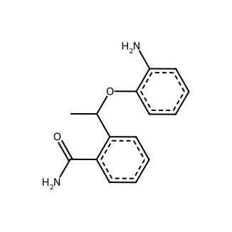 CC(Oc1ccccc1N)c1ccccc1C(N)=O